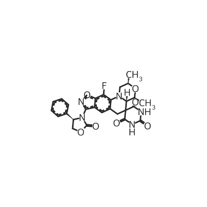 C[C@@H]1CN2c3c(cc4c(N5C(=O)OC[C@H]5c5ccccc5)noc4c3F)CC3(C(=O)NC(=O)NC3=O)[C@H]2[C@H](C)O1